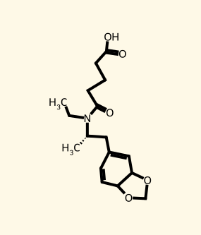 CCN(C(=O)CCCC(=O)O)[C@@H](C)CC1=CC2OCOC2C=C1